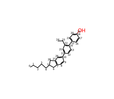 CCCCCC1Cc2ccc(-c3ccc(-c4ccc(O)cc4)c(CC)c3)cc2C1